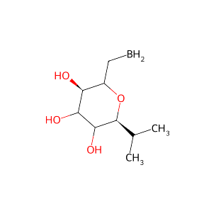 BCC1O[C@@H](C(C)C)C(O)C(O)[C@H]1O